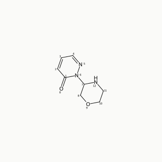 O=c1cccnn1C1COCCN1